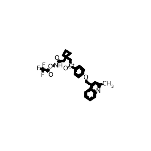 Cc1cc(COc2ccc([S+]([O-])CC3(CC(=O)NOC(=O)C(F)(F)F)CCC3)cc2)c2ccccc2n1